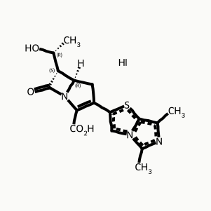 Cc1nc(C)n2cc(C3=C(C(=O)O)N4C(=O)[C@H]([C@@H](C)O)[C@H]4C3)sc12.I